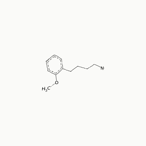 COc1ccccc1CCCC[N]